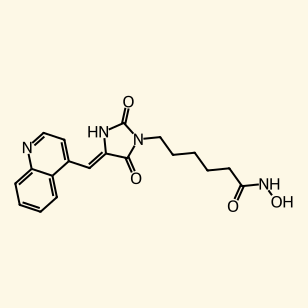 O=C(CCCCCN1C(=O)N/C(=C\c2ccnc3ccccc23)C1=O)NO